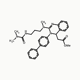 COC(=O)CC1c2ccccc2N=C(N(C)CCCNC(=O)N(C)C)N1c1ccc(-c2ccccc2)cc1